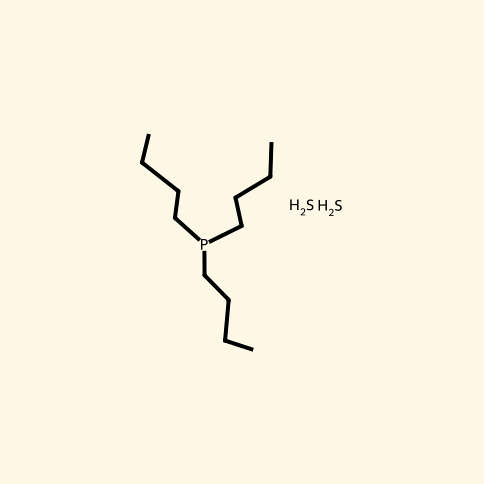 CCCCP(CCCC)CCCC.S.S